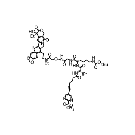 CCN(CCc1c2c(nc3cc4c(cc13)OCO4)-c1cc3c(c(=O)n1C2)COC(=O)[C@]3(O)CC)C(=O)COCNC(=O)CNC(=O)[C@H](CCCCNC(=O)OC(C)(C)C)NC(=O)[C@@H](NC(=O)CCCC#Cc1cnc(S(C)(=O)=O)nc1)C(C)C